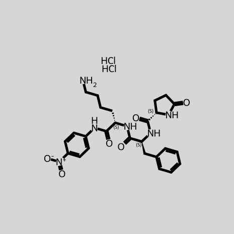 Cl.Cl.NCCCC[C@H](NC(=O)[C@H](Cc1ccccc1)NC(=O)[C@@H]1CCC(=O)N1)C(=O)Nc1ccc([N+](=O)[O-])cc1